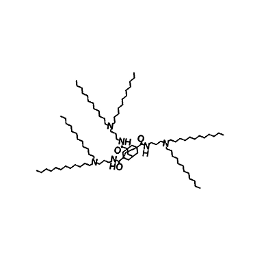 CCCCCCCCCCCCN(CCCCCCCCCCCC)CCCNC(=O)C12CC3CC(C(=O)NCCCN(CCCCCCCCCCCC)CCCCCCCCCCCC)(C1)CC(C(=O)NCCCN(CCCCCCCCCCCC)CCCCCCCCCCCC)(C3)C2